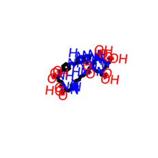 Nc1nc2ncc(CNc3ccc(C(=O)NC(CCC(=O)NC(Cc4cn(CCCCNC(=O)CN5CCN(CC(=O)O)CCN(CC(=O)O)CCN(CC(=O)O)CC5)nn4)C(=O)O)C(=O)O)cc3)nc2c(=O)[nH]1